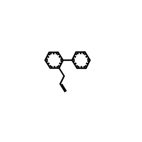 C=CCc1ccccc1-c1ccccc1